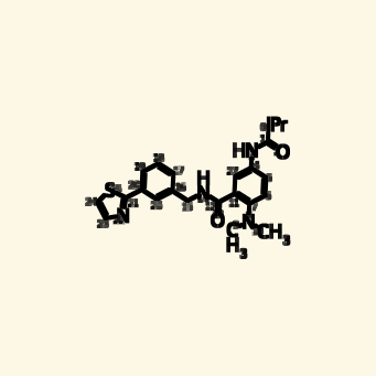 CC(C)C(=O)Nc1ccc(N(C)C)c(C(=O)NCc2cccc(-c3nccs3)c2)c1